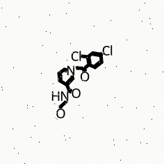 COCCNC(=O)c1ccc[n+](CC(=O)c2ccc(Cl)cc2Cl)c1